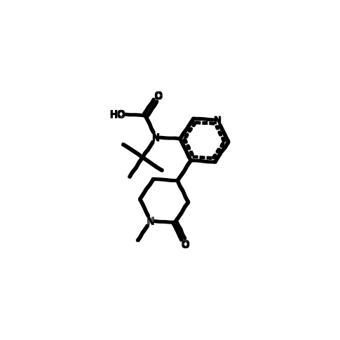 CN1CCC(c2ccncc2N(C(=O)O)C(C)(C)C)CC1=O